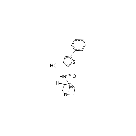 Cl.O=C(N[C@H]1CN2CCC1CC2)c1ccc(-c2ccccc2)s1